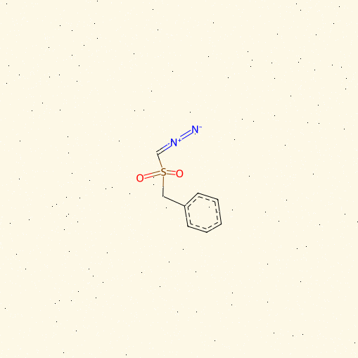 [N-]=[N+]=CS(=O)(=O)Cc1ccccc1